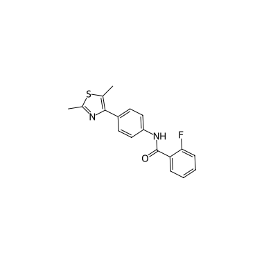 Cc1nc(-c2ccc(NC(=O)c3ccccc3F)cc2)c(C)s1